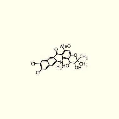 COc1cc2c(c3c1c(=O)c1cc4cc(Cl)c(Cl)cc4cc1n3C)[C@@H](O)[C@@H](O)C(C)(C)O2